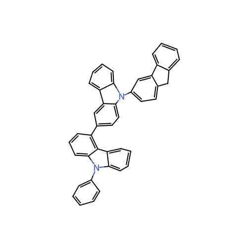 c1ccc(-n2c3ccccc3c3c(-c4ccc5c(c4)c4ccccc4n5-c4ccc5c(c4)-c4ccccc4C5)cccc32)cc1